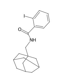 O=C(NCC12CC3CC(CC(C3)C1)C2)c1ccccc1I